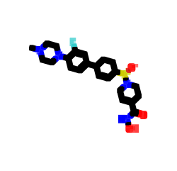 CN1CCN(C2CC=C(C3C=CC([S+]([O-])N4CC=C(C(=O)NO)CC4)CC3)C=C2F)CC1